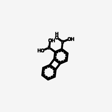 OB(O)c1ccc2c(c1B(O)O)-c1ccccc1-2